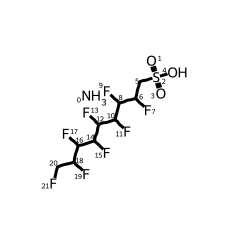 N.O=S(=O)(O)CC(F)C(F)C(F)C(F)C(F)C(F)C(F)CF